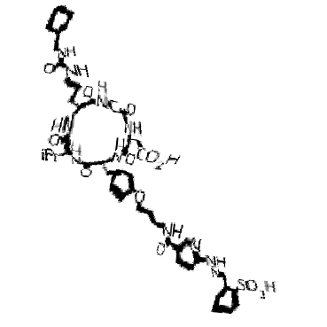 CC(C)[C@@H]1NC(=O)[C@@H](Cc2ccc(OCCCNC(=O)c3ccc(N/N=C/c4ccccc4S(=O)(=O)O)nc3)cc2)NC(=O)[C@H](CC(=O)O)NC(=O)CNC(=O)[C@H](CCCNC(=O)NCc2ccccc2)NC1=O